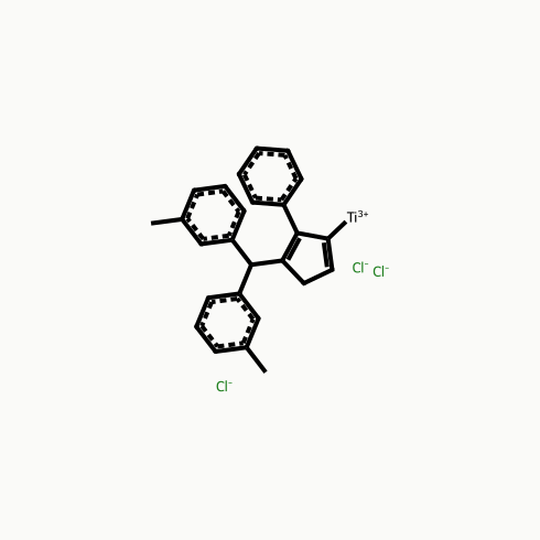 Cc1cccc(C(C2=C(c3ccccc3)[C]([Ti+3])=CC2)c2cccc(C)c2)c1.[Cl-].[Cl-].[Cl-]